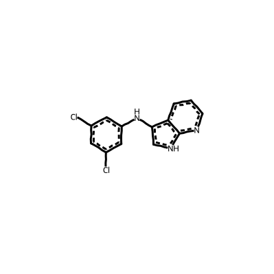 Clc1cc(Cl)cc(Nc2c[nH]c3ncccc23)c1